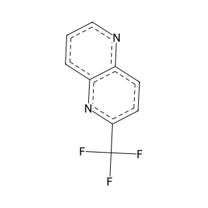 FC(F)(F)c1ccc2ncccc2n1